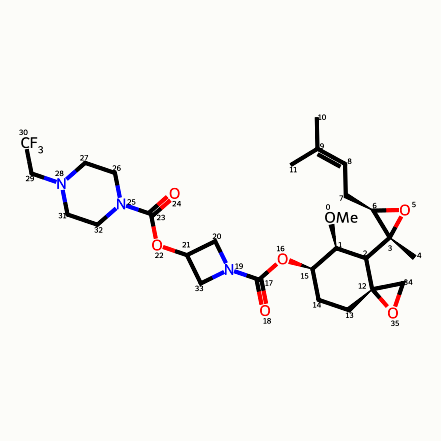 CO[C@H]1C([C@@]2(C)O[C@@H]2CC=C(C)C)[C@]2(CC[C@H]1OC(=O)N1CC(OC(=O)N3CCN(CC(F)(F)F)CC3)C1)CO2